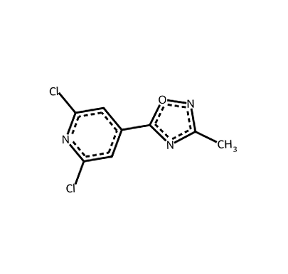 Cc1noc(-c2cc(Cl)nc(Cl)c2)n1